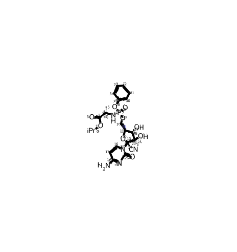 CC(C)OC(=O)[C@H](C)N[P@](=O)(O/C=C1/O[C@@](C#N)(n2ccc(N)nc2=O)[C@](C)(O)[C@@H]1O)Oc1ccccc1